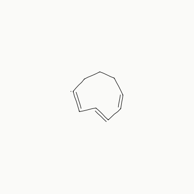 [C]1=C/C=C/C=C\CCC\1